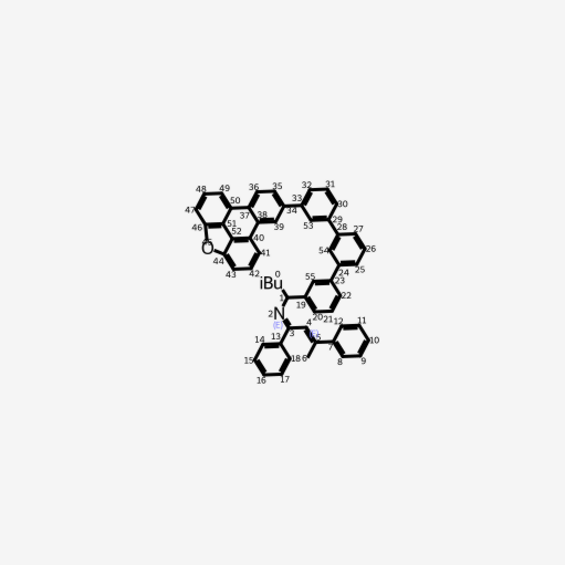 CCC(C)C(/N=C(\C=C(/C)c1ccccc1)c1ccccc1)c1cccc(-c2cccc(-c3cccc(-c4ccc5c(c4)c4cccc6oc7cccc5c7c64)c3)c2)c1